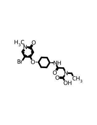 CCN(CC(=O)N[C@H]1CC[C@H](Oc2cc(=O)n(C)cc2Br)CC1)C(=O)O